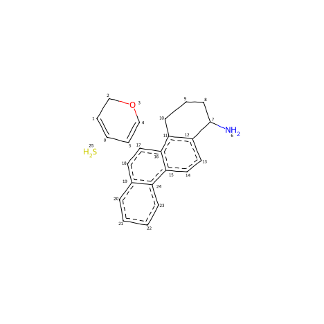 C1=CCOC=C1.NC1CCCc2c1ccc1c2ccc2ccccc21.S